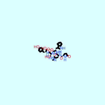 O=C1CC[C@@H](C(=O)N[C@@H](Cc2c[nH]cn2)C(=O)N[C@@H](Cc2c[nH]c3ccccc23)C(=O)N[C@@H](CO)C(=O)N[C@@H](Cc2ccc(O)cc2)C(=O)O)N1